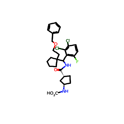 O=C(O)N[C@@H]1CC[C@@H](C(=O)NC(c2c(F)ccc(Cl)c2Cl)C2(CCOCc3ccccc3)CCCC2)C1